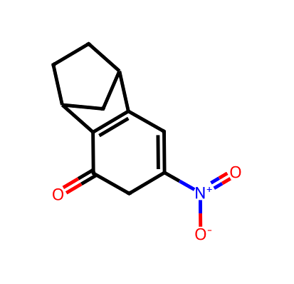 O=C1CC([N+](=O)[O-])=CC2=C1C1CCC2C1